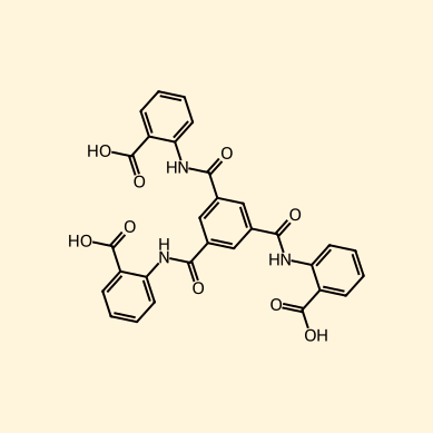 O=C(Nc1ccccc1C(=O)O)c1cc(C(=O)Nc2ccccc2C(=O)O)cc(C(=O)Nc2ccccc2C(=O)O)c1